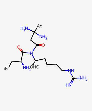 CC(=O)C(N)(N)CC(=O)N(C(=O)[C@@H](N)CC(C)C)[C@H]([C]=O)CCCCNC(=N)N